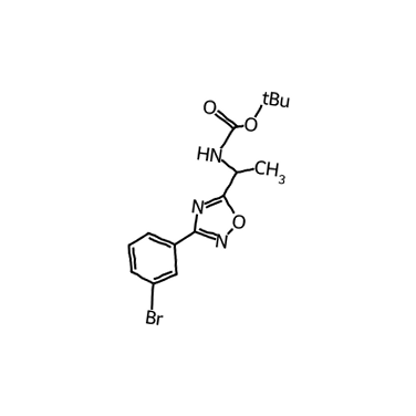 CC(NC(=O)OC(C)(C)C)c1nc(-c2cccc(Br)c2)no1